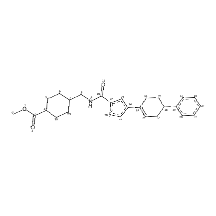 COC(=O)C1CCC(CNC(=O)c2cc(C3=CCC(c4ccccc4)CC3)cs2)CC1